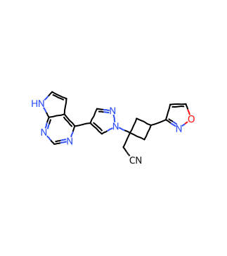 N#CCC1(n2cc(-c3ncnc4[nH]ccc34)cn2)CC(c2ccon2)C1